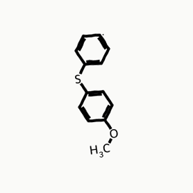 COc1ccc(Sc2cc[c]cc2)cc1